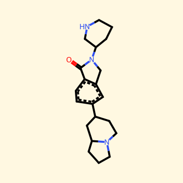 O=C1c2ccc(C3CCN4CCCC4C3)cc2CN1C1CCCNC1